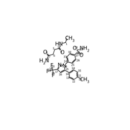 CCNC(=O)CCC(N)=O.Cc1ccc(-c2cc(C(F)(F)F)nn2-c2ccc(S(N)(=O)=O)cc2)cc1